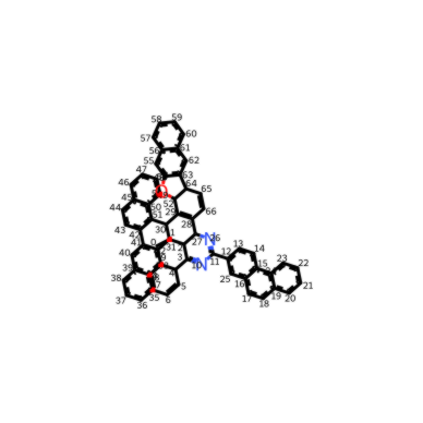 CCC1C(C2C=CC=CC2)=NC(c2ccc3c(ccc4ccccc43)c2)=NC1C1=C(C2Cc3cc4ccccc4cc3-c3ccc4ccccc4c32)C2Oc3cc4ccccc4cc3C2C=C1